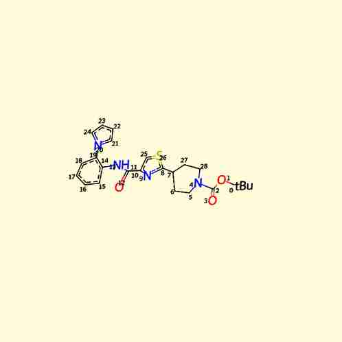 CC(C)(C)OC(=O)N1CCC(c2nc(C(=O)Nc3ccccc3-n3cccc3)cs2)CC1